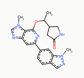 CC(Oc1nc(-c2ccc3cnn(C)c3c2)cc2ncn(C)c12)C1CNC(=O)C1